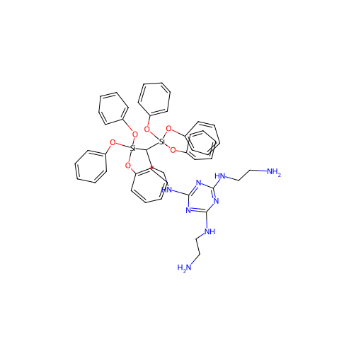 NCCNc1nc(NCCN)nc(NCCC([Si](Oc2ccccc2)(Oc2ccccc2)Oc2ccccc2)[Si](Oc2ccccc2)(Oc2ccccc2)Oc2ccccc2)n1